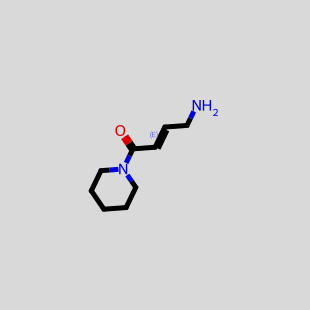 NC/C=C/C(=O)N1CCCCC1